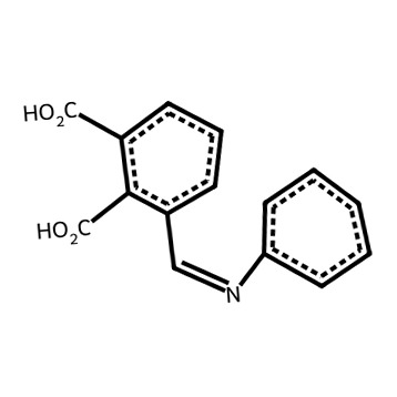 O=C(O)c1cccc(/C=N\c2ccccc2)c1C(=O)O